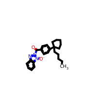 CCCCCC1(c2ccc(C(=O)n3nc4ccccc4[n+]3[O-])cc2)CCCCC1